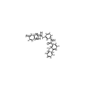 O=C(Nc1cccc(CNc2nc3cc(F)ccc3[nH]2)c1)c1cccc2c1Cc1ccccc1-2